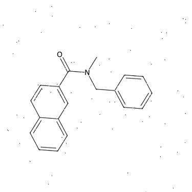 CN(Cc1ccccc1)C(=O)c1[c]cc2ccccc2c1